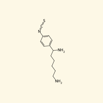 NCCCCCC(N)c1ccc(N=C=S)cc1